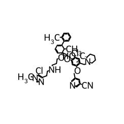 Cc1ccccc1C1=CC=CC(COc2cc(OCc3cncc(C#N)c3)c(CN3CCCC[C@H]3C(=O)O)cc2Cl)(OCCCNCCc2ncn(C)c2Cl)C1C